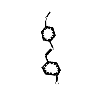 COc1ccc(/N=C/c2ccc(Cl)cc2)cc1